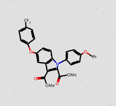 COC(=O)c1c(C(=O)OC)n(-c2ccc(OC(C)C)cc2)c2ccc(Oc3ccc(C(F)(F)F)cc3)cc12